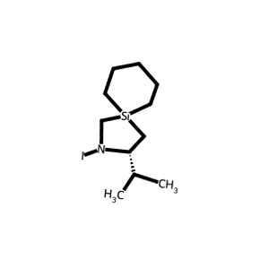 CC(C)[C@H]1C[Si]2(CCCCC2)CN1I